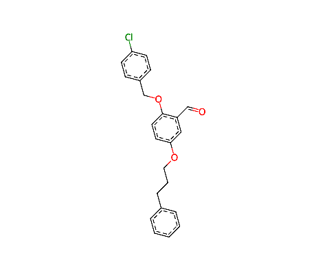 O=Cc1cc(OCCCc2ccccc2)ccc1OCc1ccc(Cl)cc1